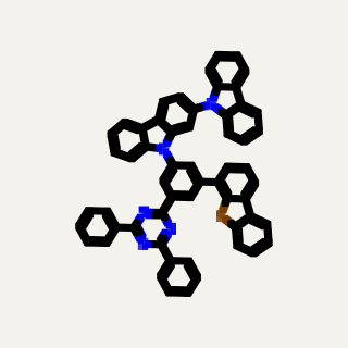 c1ccc(-c2nc(-c3ccccc3)nc(-c3cc(-c4cccc5c4sc4ccccc45)cc(-n4c5ccccc5c5ccc(-n6c7ccccc7c7ccccc76)cc54)c3)n2)cc1